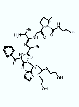 CC(C)CCNC(=O)[C@@H]1[C@H](C)CCN1C(=O)CN/C(=N\C(C(=O)NC(C(=O)N[C@H](CC(SCCO)SCCO)c1nccs1)[C@@H](C)c1ccccc1)C(C)(C)C)C(N)C(C)(C)C